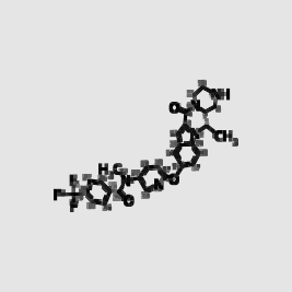 CCn1c(C(=O)N2CCNCC2)cc2cc(Oc3ccc(N(C)C(=O)c4ccc(C(F)(F)F)cc4)cn3)ccc21